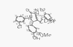 Brc1ccsc1.CCOC(=O)C1=C(N)C(=O)N(c2cccc(Cl)c2)C1c1ccc(O)c(OC)c1